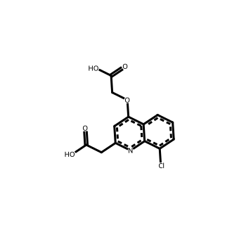 O=C(O)COc1cc(CC(=O)O)nc2c(Cl)cccc12